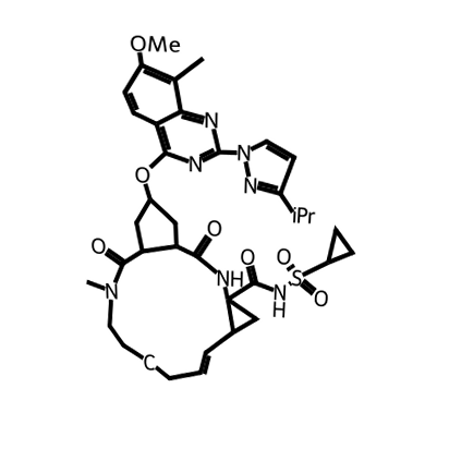 COc1ccc2c(OC3CC4C(=O)NC5(C(=O)NS(=O)(=O)C6CC6)CC5/C=C/CCCCN(C)C(=O)C4C3)nc(-n3ccc(C(C)C)n3)nc2c1C